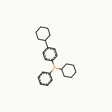 c1ccc(P(c2ccc(C3CCCCC3)cc2)C2CCCCC2)cc1